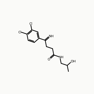 CC(O)CNC(=O)CCC(=N)c1ccc(Cl)c(Cl)c1